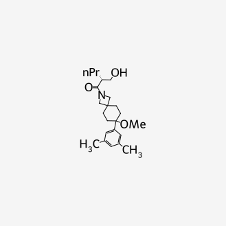 CCC[C@H](CO)C(=O)N1CC2(CCC(OC)(c3cc(C)cc(C)c3)CC2)C1